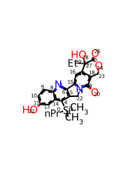 CCC[Si](C)(C)c1c2c(nc3ccc(O)cc13)-c1cc3c(c(=O)n1C2)COC(=O)[C@]3(O)CC